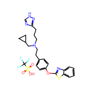 O=S(=O)(O)C(F)(F)F.c1ccc2sc(Oc3ccc(CCN(CCCc4nc[nH]n4)CC4CC4)cc3)nc2c1